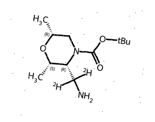 [2H]C([2H])(N)[C@@H]1[C@H](C)O[C@H](C)CN1C(=O)OC(C)(C)C